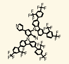 N#Cc1c(-n2c3ccc(-c4ccc(C(F)(F)F)cc4C(F)(F)F)cc3c3cc(-c4ccc(C(F)(F)F)cc4C(F)(F)F)ccc32)cc(-c2ccncc2)cc1-n1c2ccc(-c3ccc(C(F)(F)F)cc3C(F)(F)F)cc2c2cc(-c3ccc(C(F)(F)F)cc3C(F)(F)F)ccc21